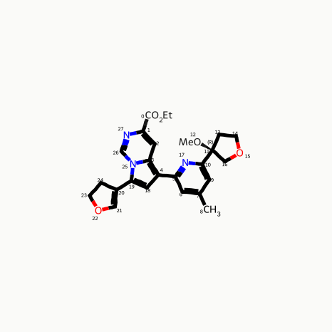 CCOC(=O)c1cc2c(-c3cc(C)cc([C@]4(OC)CCOC4)n3)cc(C3=COCC3)n2cn1